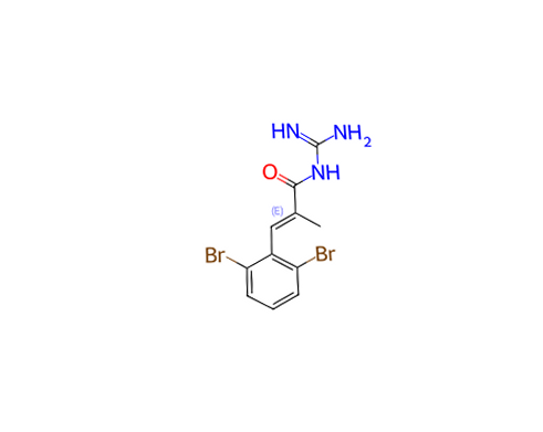 C/C(=C\c1c(Br)cccc1Br)C(=O)NC(=N)N